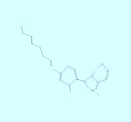 CNCCCCCCOc1ccc(-c2nn(C)c3ccccc23)c(F)c1